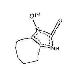 O=c1[nH]c2c(n1O)CCCC2